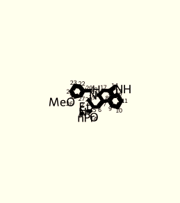 CCCN(CC)C(=O)[C@@H]1C=C2c3cccc4[nH]cc(c34)C[C@H]2N(Cc2cccc(OC)c2)C1